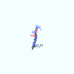 Cc1ccc(N=Nc2ccc(N=Nc3cc(C)c(N=Nc4ccc5cc(NOc6ccc(N)cc6)ccc5c4O)cc3C)cc2C)c(S(=O)(=O)O)c1